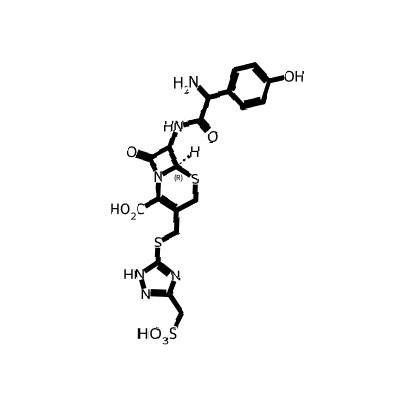 NC(C(=O)NC1C(=O)N2C(C(=O)O)=C(CSc3nc(CS(=O)(=O)O)n[nH]3)CS[C@H]12)c1ccc(O)cc1